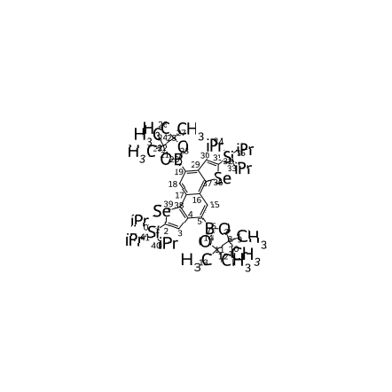 CC(C)[Si](c1cc2c(B3OC(C)(C)C(C)(C)O3)cc3c(cc(B4OC(C)(C)C(C)(C)O4)c4cc([Si](C(C)C)(C(C)C)C(C)C)[se]c43)c2[se]1)(C(C)C)C(C)C